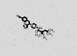 CC(C)=CC1C(C(=O)NN2CCN(C(Cc3ccc(C#N)cc3)c3cnc[nH]3)CC2)C1(C)C